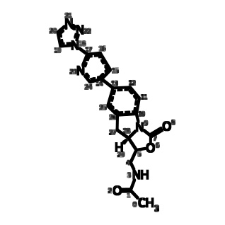 CC(=O)NCC1OC(=O)N2c3ccc(-c4ccc(-n5ccnn5)nc4)cc3C[C@@H]12